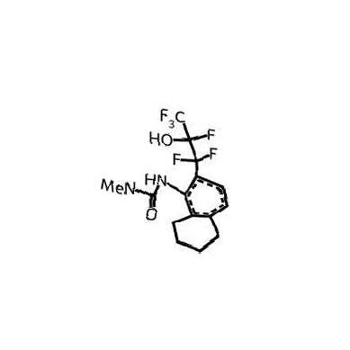 CNC(=O)Nc1c(C(F)(F)C(O)(F)C(F)(F)F)ccc2c1CCCC2